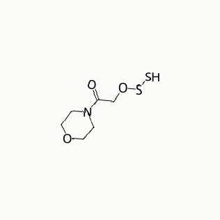 O=C(COSS)N1CCOCC1